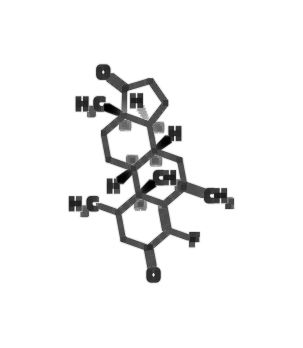 C=C1C[C@@H]2[C@@H](CC[C@]3(C)C(=O)CC[C@@H]23)[C@]2(C)C1=C(F)C(=O)CC2C